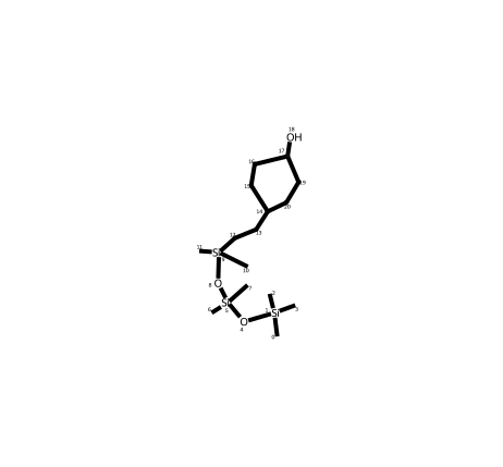 C[Si](C)(C)O[Si](C)(C)O[Si](C)(C)CCC1CCC(O)CC1